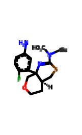 CC(C)(C)N(C(=O)O)C1=NC2(c3cc(N)ccc3F)COCC[C@@H]2CS1